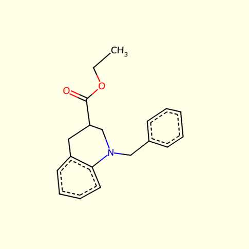 CCOC(=O)C1Cc2ccccc2N(Cc2ccccc2)C1